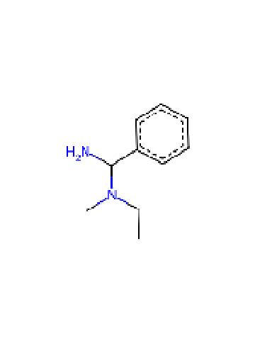 CCN(C)C(N)c1ccccc1